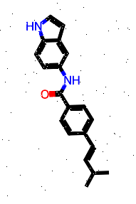 CC(C)C=Cc1ccc(C(=O)Nc2ccc3[nH]ccc3c2)cc1